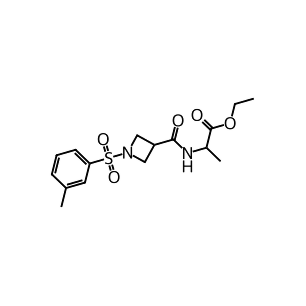 CCOC(=O)C(C)NC(=O)C1CN(S(=O)(=O)c2cccc(C)c2)C1